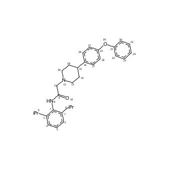 CC(C)c1cccc(C(C)C)c1NC(=O)CN1CCC(c2ccc(Oc3ccccc3)cc2)CC1